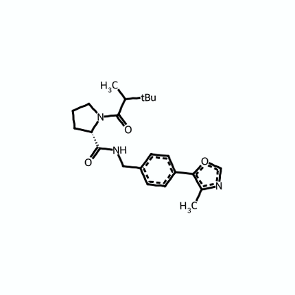 Cc1ncoc1-c1ccc(CNC(=O)[C@@H]2CCCN2C(=O)C(C)C(C)(C)C)cc1